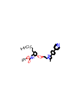 Cc1cc(-c2ccc(-c3ccncc3)cc2)nn1CCOc1ccc(CCC(=O)O)c(CNC(=O)OC(C)C)c1